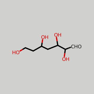 O=CC(O)C(O)CC(O)CCO